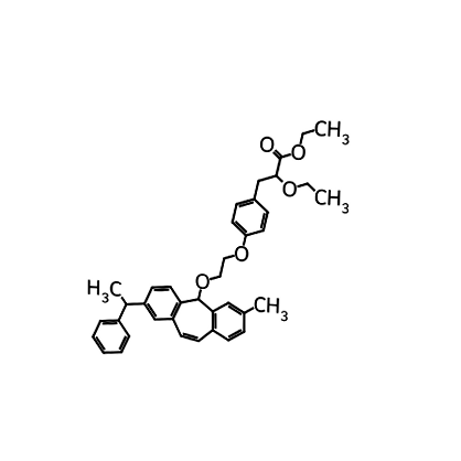 CCOC(=O)C(Cc1ccc(OCCOC2c3ccc(C(C)c4ccccc4)cc3C=Cc3ccc(C)cc32)cc1)OCC